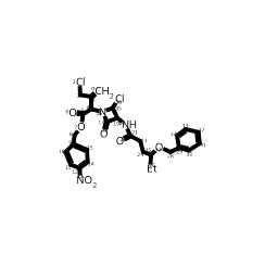 C=C(CCl)C(C(=O)OCc1ccc([N+](=O)[O-])cc1)N1C(=O)C(NC(=O)CCC(CC)OCc2ccccc2)C1Cl